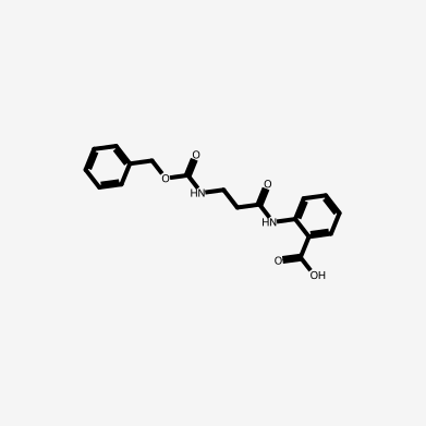 O=C(CCNC(=O)OCc1ccccc1)Nc1ccccc1C(=O)O